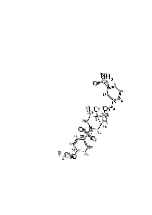 CC1(NOCc2cccc(C(N)=O)c2)CCN(S(=O)(=O)c2ccc(OC(F)(F)F)cc2)CC1